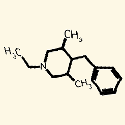 CCN1CC(C)C(Cc2ccccc2)C(C)C1